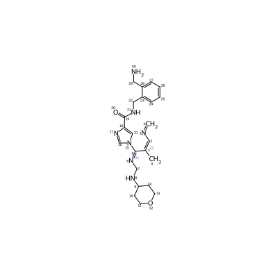 C=N/C=C(C)\C(=N/CNC1CCOCC1)n1cnc(C(=O)NCc2ccccc2CN)c1